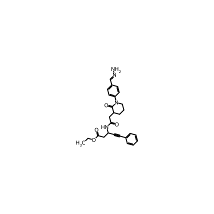 CCOC(=O)CC(C#Cc1ccccc1)NC(=O)CC1CCCN(c2ccc(C=NN)cc2)C1=O